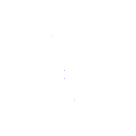 COC(OC)c1cc(-c2cccc([C](C)C(N)=O)c2)n(C)n1